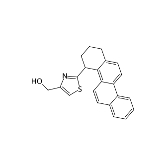 OCc1csc(C2CCCc3ccc4c(ccc5ccccc54)c32)n1